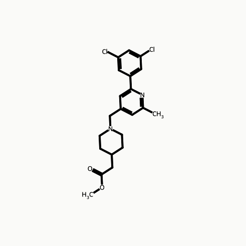 COC(=O)CC1CCN(Cc2cc(C)nc(-c3cc(Cl)cc(Cl)c3)c2)CC1